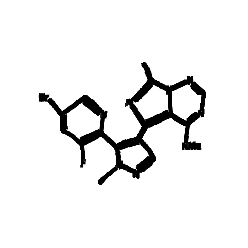 CNc1ncnn2c(C)nc(-c3cnn(C)c3-c3ncc(Br)cc3F)c12